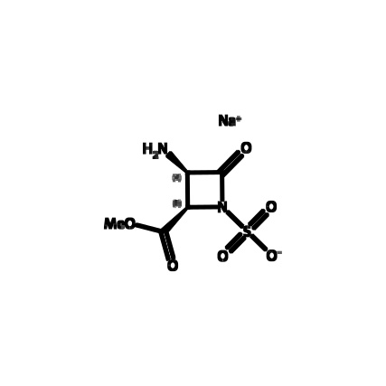 COC(=O)[C@H]1[C@@H](N)C(=O)N1S(=O)(=O)[O-].[Na+]